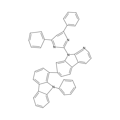 c1ccc(-c2cc(-c3ccccc3)nc(-n3c4cc(-c5cccc6c7ccccc7n(-c7ccccc7)c56)ccc4c4cccnc43)n2)cc1